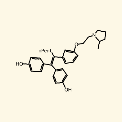 CCCCCC(=C(c1ccc(O)cc1)c1ccc(O)cc1)c1cccc(OCCN2CCCC2C)c1